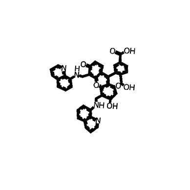 O=C(O)c1ccc(C(=O)O)c(-c2c3ccc(=O)c(CNc4cccc5cccnc45)c-3oc3c(CNc4cccc5cccnc45)c(O)ccc23)c1